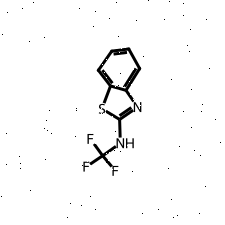 FC(F)(F)Nc1nc2ccccc2s1